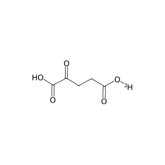 [2H]OC(=O)CCC(=O)C(=O)O